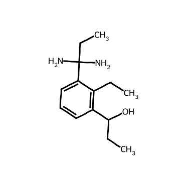 CCc1c(C(O)CC)cccc1C(N)(N)CC